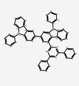 c1ccc(-c2nc(-c3ccccc3)nc(-c3cc(-c4ccc5c(c4)c4ccccc4n5-c4ccccc4)cc4c3c3ccccc3n4-c3ccccc3)n2)cc1